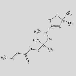 CC=CC(=O)OCC(C)(C)OC(C)C1=CC(C)(C)CC1